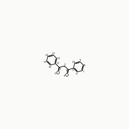 O=C([C]C(=O)c1ccccc1)c1ccccc1